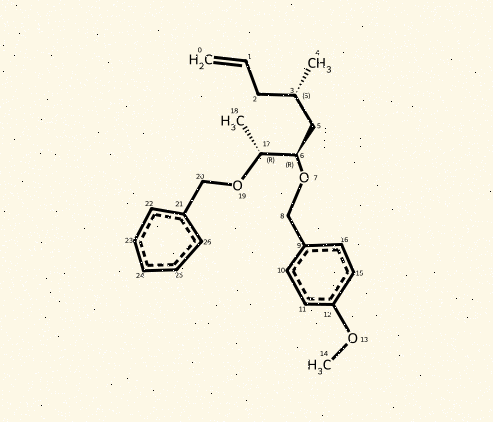 C=CC[C@H](C)C[C@@H](OCc1ccc(OC)cc1)[C@@H](C)OCc1ccccc1